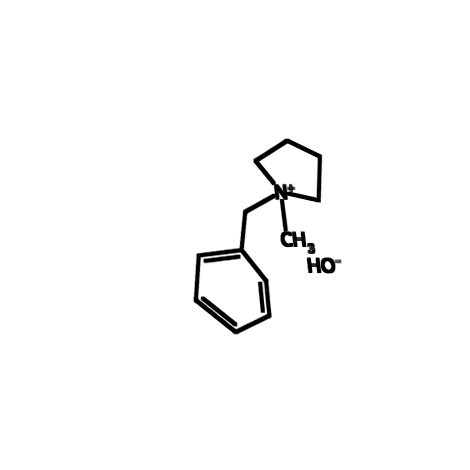 C[N+]1(Cc2ccccc2)CCCC1.[OH-]